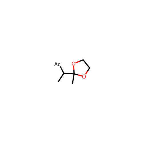 CC(=O)C(C)C1(C)OCCO1